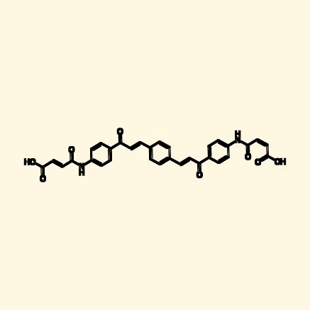 O=C(O)/C=C\C(=O)Nc1ccc(C(=O)/C=C/c2ccc(/C=C/C(=O)c3ccc(NC(=O)/C=C/C(=O)O)cc3)cc2)cc1